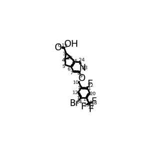 O=C(O)C1C2Cc3cc(OCc4cc(Br)c(C(F)(F)F)cc4F)ncc3C21